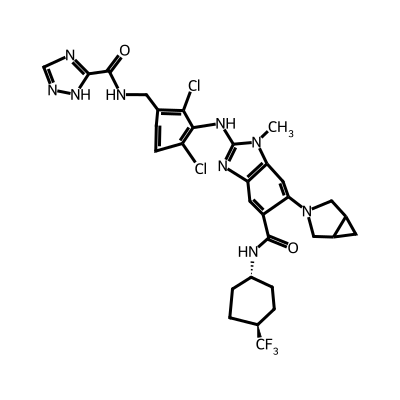 Cn1c(Nc2c(Cl)ccc(CNC(=O)c3ncn[nH]3)c2Cl)nc2cc(C(=O)N[C@H]3CC[C@H](C(F)(F)F)CC3)c(N3CC4CC4C3)cc21